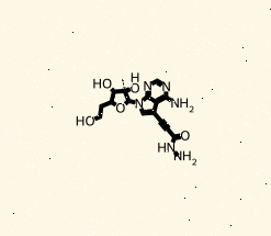 C[C@@]1(O)C(O)C(CCO)OC1n1cc(C#CC(=O)NN)c2c(N)ncnc21